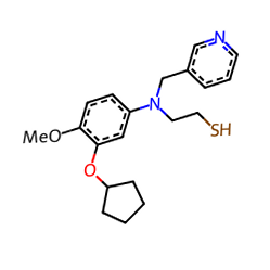 COc1ccc(N(CCS)Cc2cccnc2)cc1OC1CCCC1